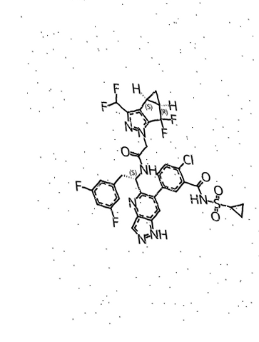 O=C(Cn1nc(C(F)F)c2c1C(F)(F)[C@@H]1C[C@H]21)N[C@@H](Cc1cc(F)cc(F)c1)c1nc2cn[nH]c2cc1-c1ccc(Cl)c(C(=O)NS(=O)(=O)C2CC2)c1